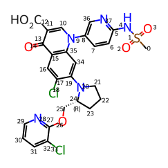 CS(=O)(=O)Nc1ccc(-n2cc(C(=O)O)c(=O)c3cc(Cl)c(N4CCC[C@@H]4COc4ncccc4Cl)cc32)cn1